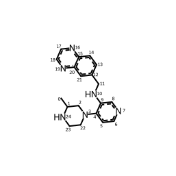 CC1CN(c2ccncc2NCc2ccc3nccnc3c2)CCN1